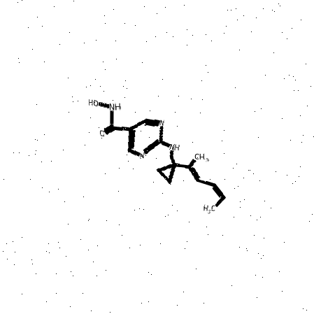 C/C=C\C=C(/C)C1(Nc2ncc(C(=O)NO)cn2)CC1